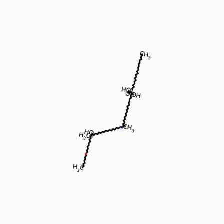 CCCCCCCCCCCCCCCCCCCCCC[C@@H](C(=O)O)[C@H](O)CCCCCCCCCCCCCCCCC[C@H](C)/C=C/CCCCCCCCCCCCCCC[C@@H](O)[C@@H](C)CCCCCCCCCCCCCCCCCC